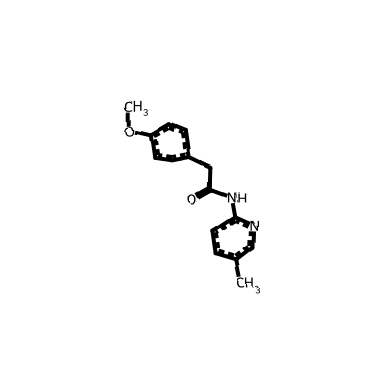 COc1ccc(CC(=O)Nc2ccc(C)cn2)cc1